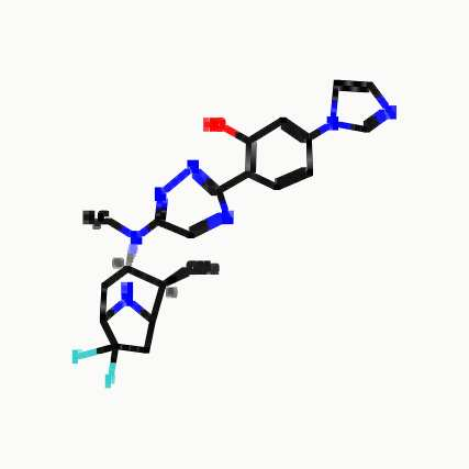 CO[C@H]1C2CC(F)(F)C(C[C@@H]1N(C)c1cnc(-c3ccc(-n4ccnc4)cc3O)nn1)N2